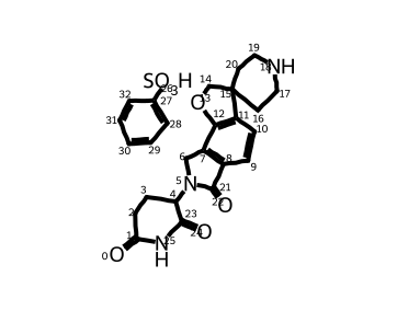 O=C1CCC(N2Cc3c(ccc4c3OCC43CCNCC3)C2=O)C(=O)N1.O=S(=O)(O)c1ccccc1